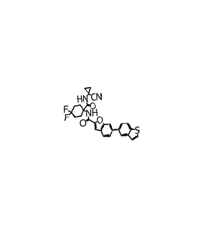 N#CC1(NC(=O)C2(NC(=O)c3cc4ccc(-c5ccc6sccc6c5)cc4o3)CCC(F)(F)CC2)CC1